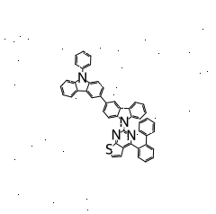 c1ccc(-c2ccccc2-c2nc(-n3c4ccccc4c4cc(-c5ccc6c(c5)c5ccccc5n6-c5ccccc5)ccc43)nc3sccc23)cc1